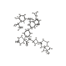 CNC(=O)c1cc(Nc2nc(-c3ccc4c(c3)N(C3CC(N5CCCC6(C5)CC6(F)F)C3)C(=O)C43CCNCC3)cc3ncn(C4CC4)c23)ccc1C